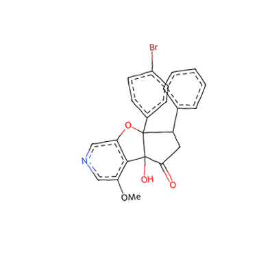 COc1cncc2c1C1(O)C(=O)CC(c3ccccc3)C1(c1ccc(Br)cc1)O2